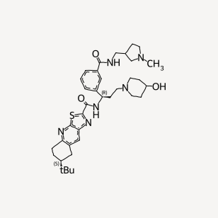 CN1CCC(CNC(=O)c2cccc([C@@H](CCN3CCC(O)CC3)NC(=O)c3nc4cc5c(nc4s3)CC[C@H](C(C)(C)C)C5)c2)C1